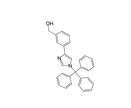 OCc1cccc(-c2cn(C(c3ccccc3)(c3ccccc3)c3ccccc3)cn2)c1